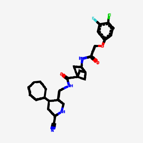 N#CC1CC(C2CCCCCC2)C(CNC(=O)C23CC(C2)C(NC(=O)COc2ccc(Cl)c(F)c2)C3)CN1